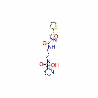 O=C(NCCCNC(=O)c1cccnc1O)c1cc(-c2cccs2)on1